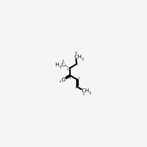 CC=CC(=O)[C@H](C)CC